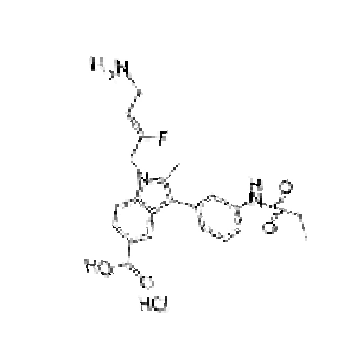 CCS(=O)(=O)Nc1cccc(-c2c(C)n(C/C(F)=C/CN)c3ccc(C(=O)O)cc23)c1.Cl